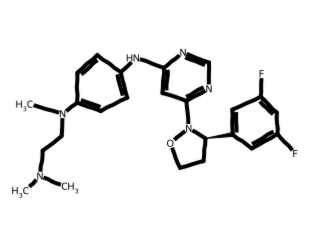 CN(C)CCN(C)c1ccc(Nc2cc(N3OCC[C@@H]3c3cc(F)cc(F)c3)ncn2)cc1